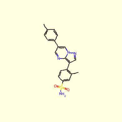 Cc1ccc(-c2cnc3c(-c4ccc(S(N)(=O)=O)cc4C)cnn3c2)cc1